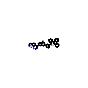 Cc1cc(-c2cccc(-c3nc4c5ccccc5c5ccccc5c4c4ccccc34)c2)cc2cc(-c3ccnc4c3ccc3cccnc34)ccc12